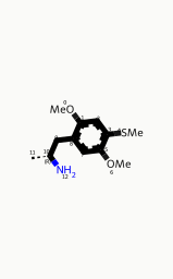 COc1cc(SC)c(OC)cc1C[C@@H](C)N